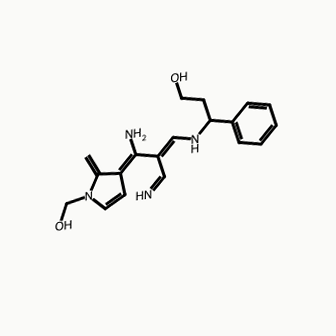 C=c1/c(=C(N)/C(C=N)=C/NC(CCO)c2ccccc2)ccn1CO